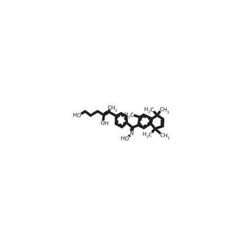 C/C(=C(/O)CCCO)c1ccc(/C(=N\O)c2cc3c(cc2C)C(C)(C)C=CC3(C)C)cc1